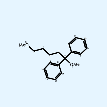 COCCCCC(OC)(c1ccccc1)c1ccccc1